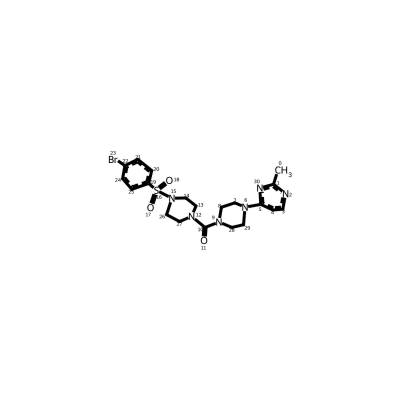 Cc1nccc(N2CCN(C(=O)N3CCN(S(=O)(=O)c4ccc(Br)cc4)CC3)CC2)n1